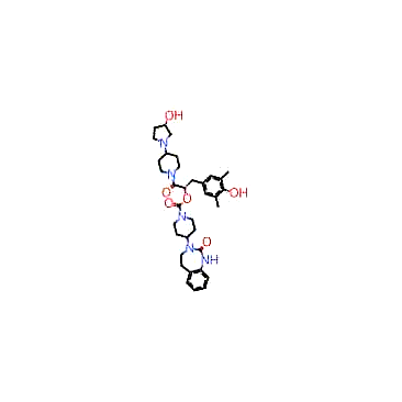 Cc1cc(C[C@@H](OC(=O)N2CCC(N3CCc4ccccc4NC3=O)CC2)C(=O)N2CCC(N3CC[C@@H](O)C3)CC2)cc(C)c1O